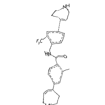 Cc1cc(C2=CCNCC2)ccc1C(=O)Nc1ccc(C2=CCNCC2)cc1C(F)(F)F